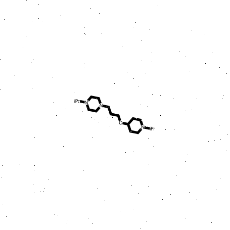 CC(C)N1CCC(OCCCN2CCN(C(C)C)CC2)CC1